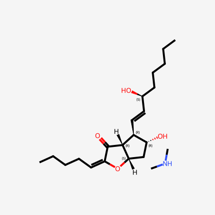 CCCCC=C1O[C@H]2C[C@@H](O)[C@H](C=C[C@@H](O)CCCCC)[C@H]2C1=O.CNC